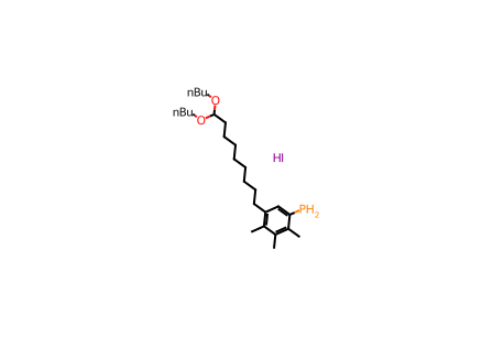 CCCCOC(CCCCCCCCc1cc(P)c(C)c(C)c1C)OCCCC.I